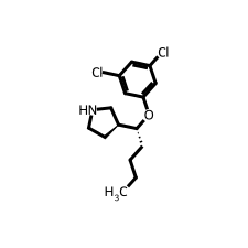 CCCC[C@@H](Oc1cc(Cl)cc(Cl)c1)[C@H]1CCNC1